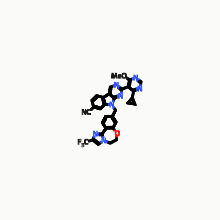 COc1ncnc(C2CC2)c1-c1ncc2c3ccc(C#N)cc3n(Cc3ccc4c(c3)OCCn3cc(C(F)(F)F)nc3-4)c2n1